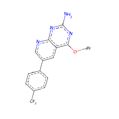 CC(C)Oc1nc(N)nc2ncc(-c3ccc(C(F)(F)F)cc3)cc12